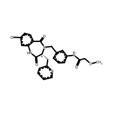 COCC(=O)Nc1cccc(CN2C(=O)c3ccc(Cl)cc3NC(=O)[C@H]2Cc2ccccn2)c1